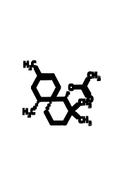 CC(=O)O[C@@H]1C(C)(C)CCC[C@]12CC=C(C)C[C@H]2C